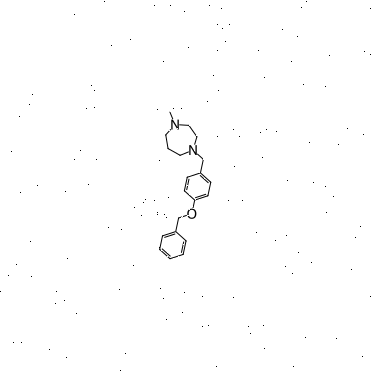 CN1CCCN(Cc2ccc(OCc3ccccc3)cc2)CC1